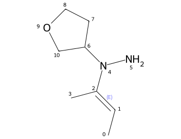 C/C=C(\C)N(N)C1CCOC1